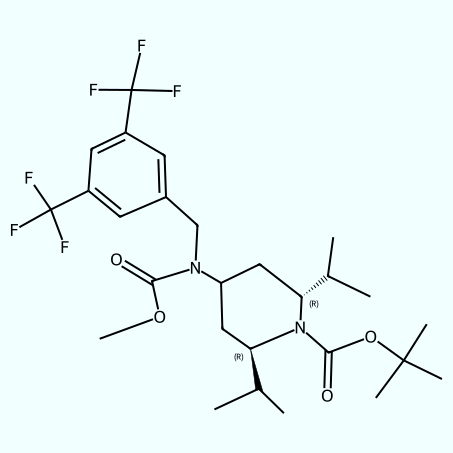 COC(=O)N(Cc1cc(C(F)(F)F)cc(C(F)(F)F)c1)C1C[C@H](C(C)C)N(C(=O)OC(C)(C)C)[C@@H](C(C)C)C1